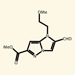 COCCn1c(C=O)cn2nc(C(=O)OC)cc12